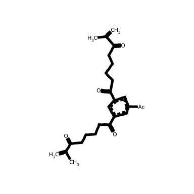 C=C(C)C(=O)CCCCC(=O)c1cc(C(C)=O)cc(C(=O)CCCCC(=O)C(=C)C)c1